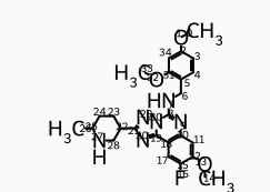 COc1ccc(CNc2nc3cc(OC)c(F)cc3c3nc(C4CCC(C)NC4)nn23)c(OC)c1